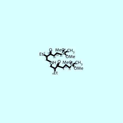 CCC(CNCC(CC)C(=O)CCC[Si](C)(OC)OC)C(=O)CCC[Si](C)(OC)OC